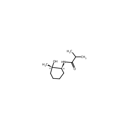 CC(C)C(=O)N[C@H]1CCCC[C@]1(C)O